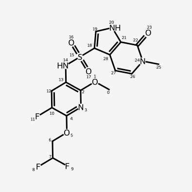 COc1nc(OCC(F)F)c(F)cc1NS(=O)(=O)c1c[nH]c2c(=O)n(C)ccc12